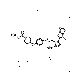 CCCc1cnc(-c2cc3sccc3n2C)n1CCOc1ccc(OC2CCN(C(=O)OC(C)(C)C)CC2)cc1